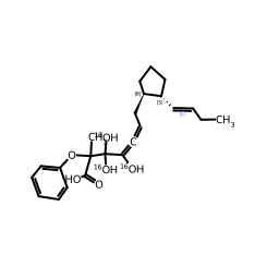 CC/C=C/[C@H]1CCC[C@@H]1CC=C=C([16OH])C([16OH])([16OH])C(C)(Oc1ccccc1)C(=O)O